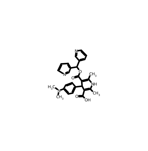 CC1=C(C(=O)O)C(c2ccc(N(C)C)cc2)C(C(=O)OC(c2cccnc2)c2cccnc2)=C(C)N1